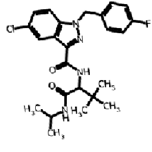 CC(C)NC(=O)C(NC(=O)c1nn(Cc2ccc(F)cc2)c2ccc(Cl)cc12)C(C)(C)C